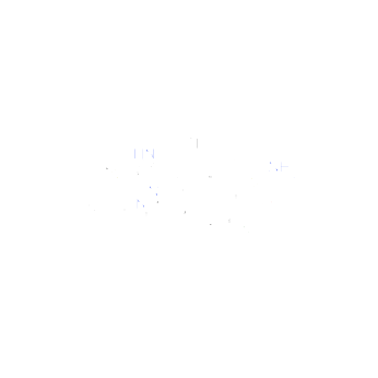 CC1=C(c2ccc(Cl)c(S(N)(=O)=O)c2)N2N=C(C(C)C)SC2N1